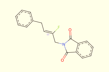 O=C1c2ccccc2C(=O)N1C/C(F)=C/Cc1ccccc1